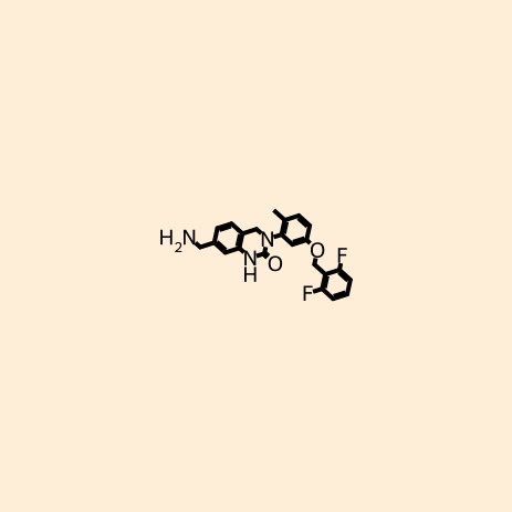 Cc1ccc(OCc2c(F)cccc2F)cc1N1Cc2ccc(CN)cc2NC1=O